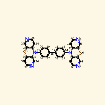 c1cc2c(cn1)Sc1cnccc1N2c1ccc(-c2ccc(N3c4ccncc4Sc4ccncc43)cc2)cc1